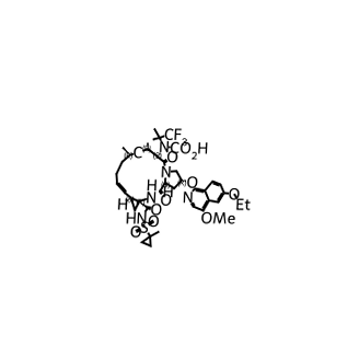 CCOc1ccc2c(O[C@@H]3C[C@H]4C(=O)N[C@]5(C(=O)NS(=O)(=O)C6(C)CC6)C[C@H]5C=CCC[C@@H](C)C[C@@H](C)[C@H](N(C(=O)O)C(C)(C)C(F)(F)F)C(=O)N4C3)ncc(OC)c2c1